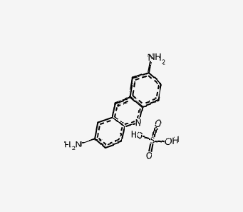 Nc1ccc2nc3ccc(N)cc3cc2c1.O=S(=O)(O)O